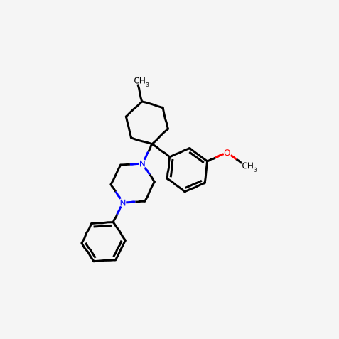 COc1cccc(C2(N3CCN(c4ccccc4)CC3)CCC(C)CC2)c1